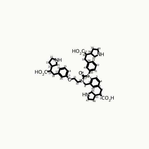 O=C(O)C(Cc1cccc(CN(CCOc2cccc(CC(C(=O)O)C3CCNC3)c2)C(=O)Sc2cccc(CC(C(=O)O)C3CCNC3)c2)c1)C1CCNC1